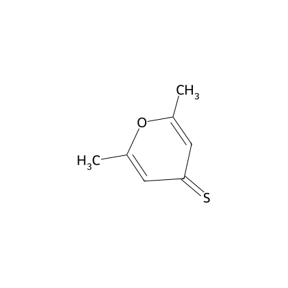 Cc1cc(=S)cc(C)o1